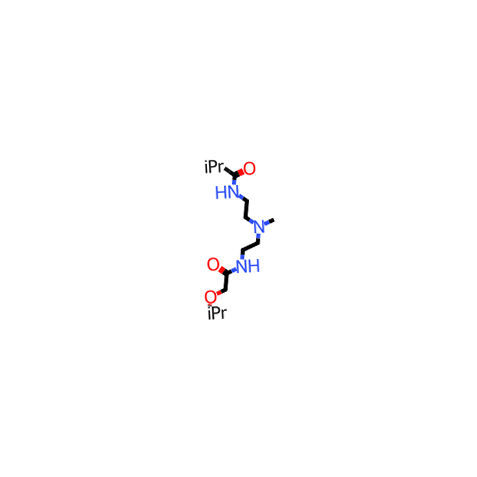 CC(C)OCC(=O)NCCN(C)CCNC(=O)C(C)C